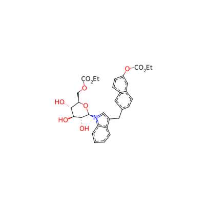 CCOC(=O)OC[C@H]1O[C@@H](n2cc(Cc3ccc4cc(OC(=O)OCC)ccc4c3)c3ccccc32)[C@H](O)[C@@H](O)[C@@H]1O